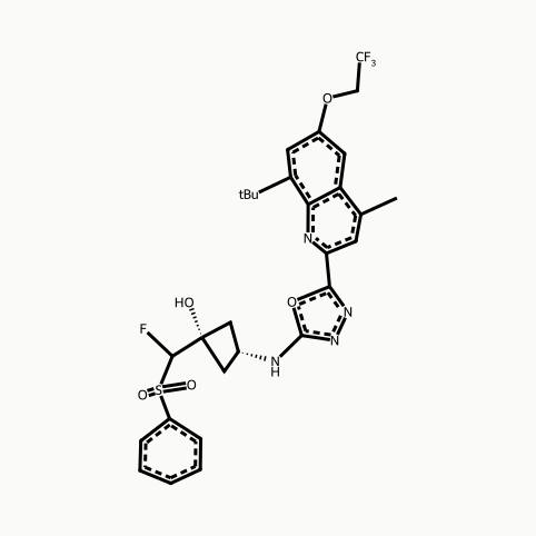 Cc1cc(-c2nnc(N[C@H]3C[C@](O)(C(F)S(=O)(=O)c4ccccc4)C3)o2)nc2c(C(C)(C)C)cc(OCC(F)(F)F)cc12